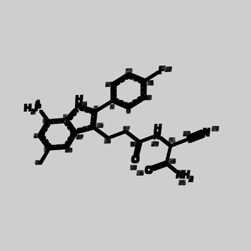 Cc1cc(P)c2[nH]c(-c3ccc(F)cc3)c(CCC(=O)NC(C#N)C(N)=O)c2c1